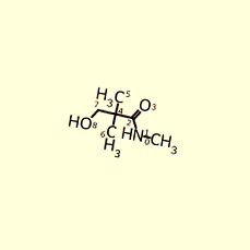 CNC(=O)C(C)(C)CO